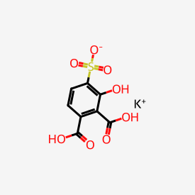 O=C(O)c1ccc(S(=O)(=O)[O-])c(O)c1C(=O)O.[K+]